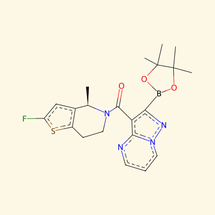 C[C@@H]1c2cc(F)sc2CCN1C(=O)c1c(B2OC(C)(C)C(C)(C)O2)nn2cccnc12